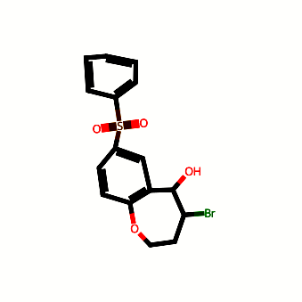 O=S(=O)(c1ccccc1)c1ccc2c(c1)C(O)C(Br)CCO2